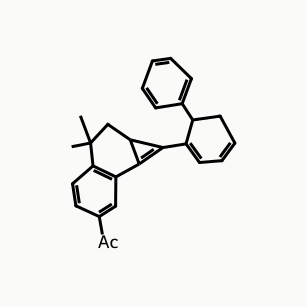 CC(=O)c1ccc2c(c1)C1=C(C3=CC=CCC3c3ccccc3)C1CC2(C)C